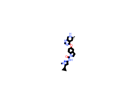 C[C@H]1Cc2c(ncnc2Oc2ccc3c(ccn3C(=O)Nc3cc(C4CC4)n(C)n3)c2)CN1